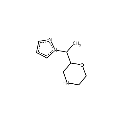 CC(C1CNCCO1)n1cc[c]n1